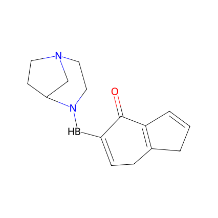 O=C1C(BN2CCN3CCC2C3)=CCC2=C1C=CC2